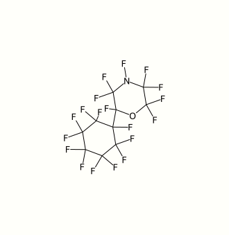 FN1C(F)(F)C(F)(F)OC(F)(C2(F)C(F)(F)C(F)(F)C(F)(F)C(F)(F)C2(F)F)C1(F)F